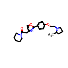 CC1CCCN1CCOc1ccc(-c2nc(CC(=O)N3CCCCC3)co2)cc1